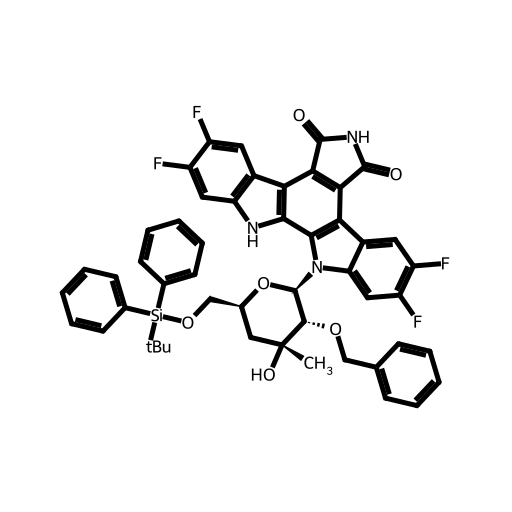 CC(C)(C)[Si](OC[C@@H]1C[C@@](C)(O)[C@@H](OCc2ccccc2)[C@H](n2c3cc(F)c(F)cc3c3c4c(c5c6cc(F)c(F)cc6[nH]c5c32)C(=O)NC4=O)O1)(c1ccccc1)c1ccccc1